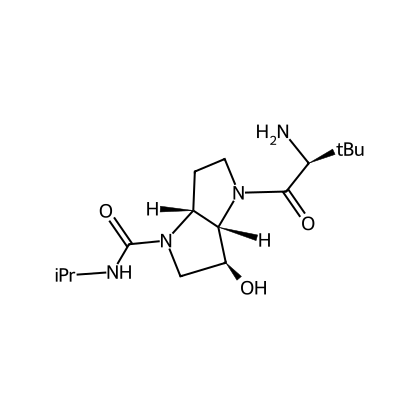 CC(C)NC(=O)N1C[C@H](O)[C@@H]2[C@H]1CCN2C(=O)[C@@H](N)C(C)(C)C